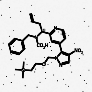 C=CC[C@@H](c1cc(-c2c([N+](=O)[O-])cnn2COCC[Si](C)(C)C)ccn1)N(Cc1ccccc1)C(=O)O